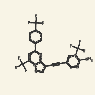 Nc1ncc(C#Cc2cnn3c(C(F)(F)F)cc(-c4ccc(C(F)(F)F)cc4)nc23)cc1C(F)(F)F